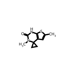 Cc1cc2c(s1)NC(=O)N(C)C21CC1